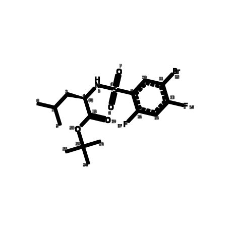 CC(C)C[C@@H](NS(=O)(=O)c1cc(Br)c(F)cc1F)C(=O)OC(C)(C)C